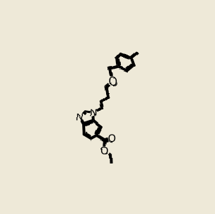 CCOC(=O)c1ccc2ncn(CCCCOCc3ccc(C)cc3)c2c1